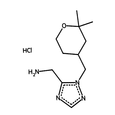 CC1(C)CC(Cn2ncnc2CN)CCO1.Cl